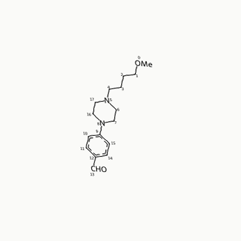 COCCCCN1CCN(c2ccc(C=O)cc2)CC1